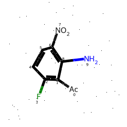 CC(=O)c1c(F)ccc([N+](=O)[O-])c1N